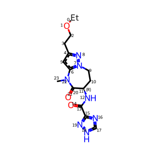 CCOCCc1cc2n(n1)CC[C@@H](NC(=O)c1nc[nH]n1)C(=O)N2C